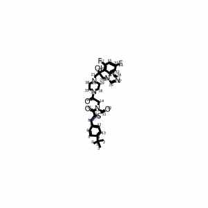 CC(C)(C)c1ccc(/C=C2\SC(=O)N(CC(=O)N3CCN(CC(O)(Cn4cncn4)c4ccc(F)cc4F)CC3)C2=O)cc1